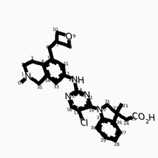 CN1CCc2c(CC3COC3)cc(Nc3ncc(Cl)c(N4CC(C)(CC(=O)O)c5ccccc54)n3)cc2C1